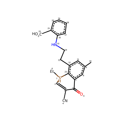 CC[SH]1C=C(C#N)C(=O)c2cc(C)cc(CCNc3ccccc3C(=O)O)c21